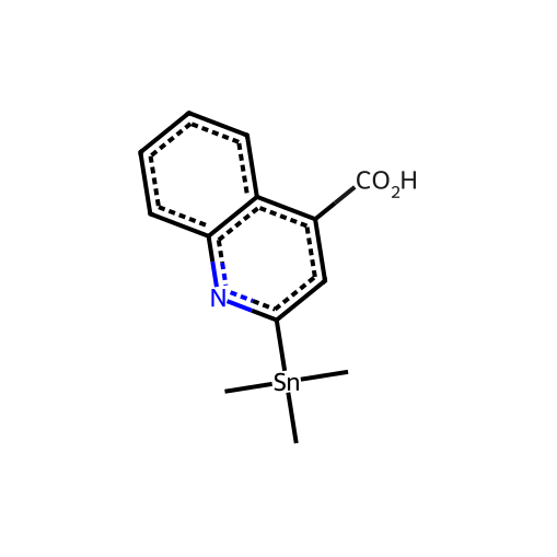 [CH3][Sn]([CH3])([CH3])[c]1cc(C(=O)O)c2ccccc2n1